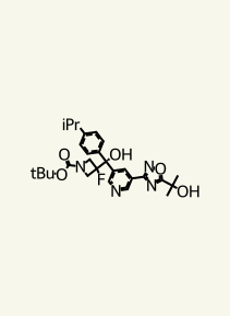 CC(C)c1ccc([C@](O)(c2cncc(-c3noc(C(C)(C)O)n3)c2)C2(F)CN(C(=O)OC(C)(C)C)C2)cc1